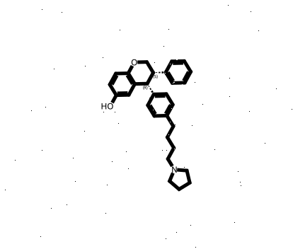 Oc1ccc2c(c1)[C@@H](c1ccc(CCCCN3CCCC3)cc1)[C@@H](c1ccccc1)CO2